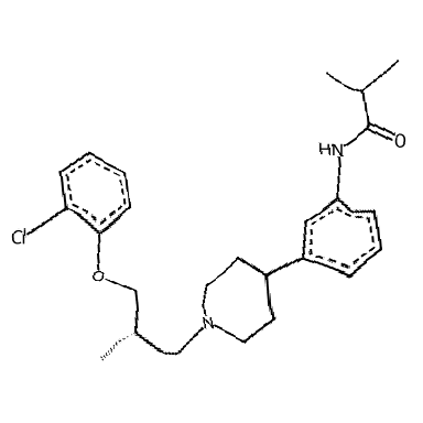 CC(C)C(=O)Nc1cccc(C2CCN(C[C@H](C)COc3ccccc3Cl)CC2)c1